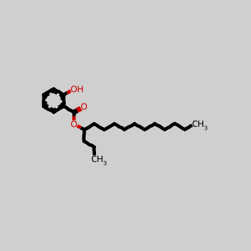 CCCCCCCCCCCC(CCC)OC(=O)c1ccccc1O